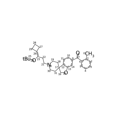 Cc1ccccc1C(=O)c1ccc2c(c1)OCC21CCN(CCC(OC(C)(C)C)=C2CCC2)CC1